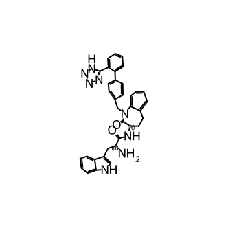 N[C@H](Cc1c[nH]c2ccccc12)C(=O)N[C@@H]1CCc2ccccc2N(Cc2ccc(-c3ccccc3-c3nnn[nH]3)cc2)C1=O